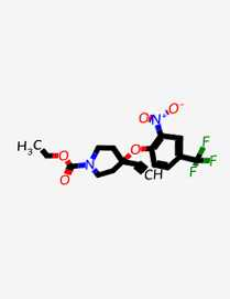 C#CC1(Oc2ccc(C(F)(F)F)cc2[N+](=O)[O-])CCN(C(=O)OCC)CC1